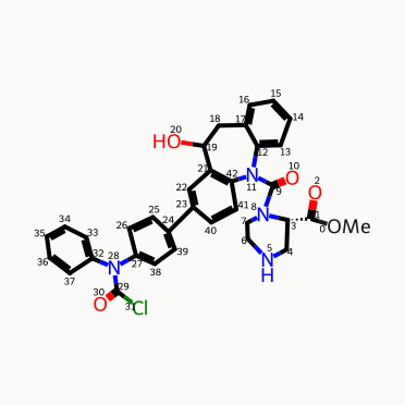 COC(=O)[C@@H]1CNCCN1C(=O)N1c2ccccc2CC(O)c2cc(-c3ccc(N(C(=O)Cl)c4ccccc4)cc3)ccc21